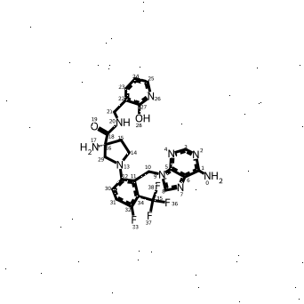 Nc1ncnc2c1ncn2Cc1c(N2CC[C@](N)(C(=O)NCc3cccnc3O)C2)ccc(F)c1C(F)(F)F